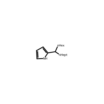 CCCCCCCC(CCCCCC)c1ccc[nH]1